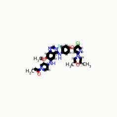 C=CC(=O)N1CCC(Nc2cc3c(Nc4ccc(Oc5cc(N6C[C@@H](C)O[C@@H](C)C6)ncc5Cl)cc4F)ncnc3cc2OC)CC1